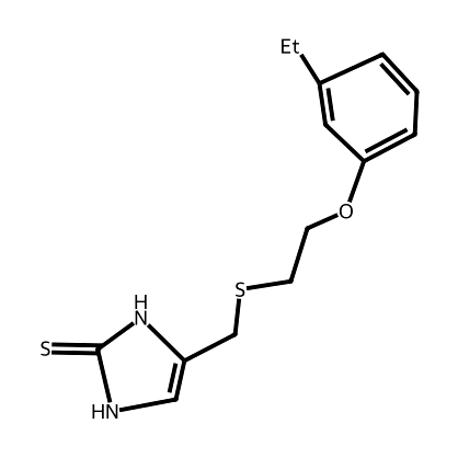 CCc1cccc(OCCSCc2c[nH]c(=S)[nH]2)c1